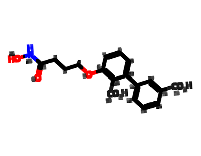 O=C(CCCOc1cccc(-c2cccc(C(=O)O)c2)c1C(=O)O)NO